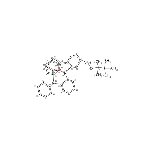 BC(C)(C)C(C)(C)OBc1ccc2c3ccccc3n(-c3ccccc3N(c3ccccc3)c3ccccc3)c2c1